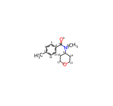 Cc1ccc(C(=O)N(C)C2CCOCC2)cc1